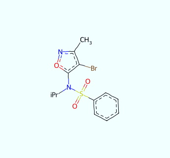 Cc1noc(N(C(C)C)S(=O)(=O)c2ccccc2)c1Br